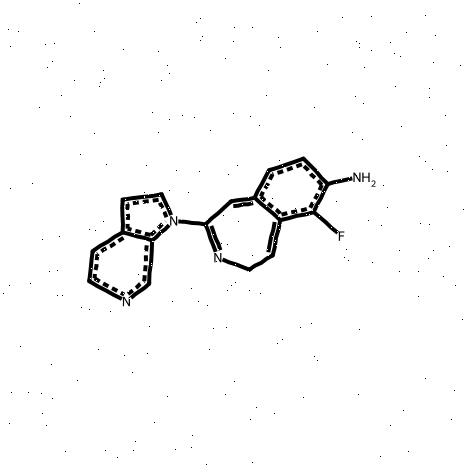 Nc1ccc2c(c1F)=CCN=C(n1ccc3ccncc31)C=2